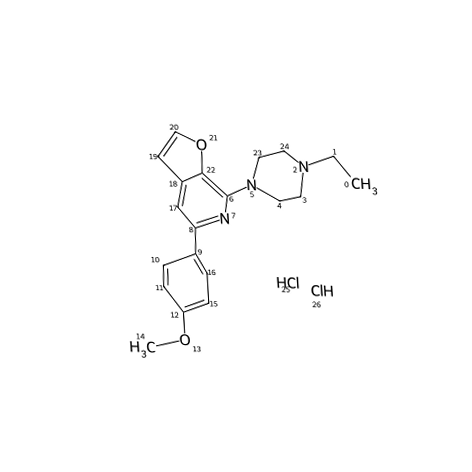 CCN1CCN(c2nc(-c3ccc(OC)cc3)cc3ccoc23)CC1.Cl.Cl